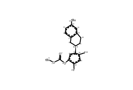 CC(C)(C)OC(=O)Oc1cc([C@@H]2[CH]Cc3[c]c(C(C)(C)C)[c]cc3C2)c(F)cc1F